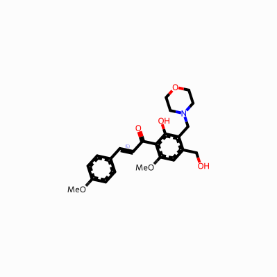 COc1ccc(/C=C/C(=O)c2c(OC)cc(CO)c(CN3CCOCC3)c2O)cc1